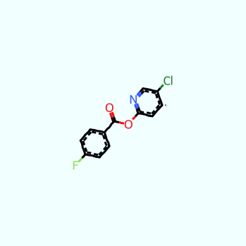 O=C(Oc1c[c]c(Cl)cn1)c1ccc(F)cc1